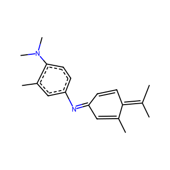 CC1=C/C(=N/c2ccc(N(C)C)c(C)c2)C=CC1=C(C)C